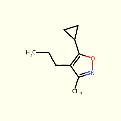 CCCc1c(C)noc1C1CC1